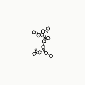 CS1(C)c2ccccc2-c2ccc(N(c3ccc(-c4ccccc4)cc3)c3ccc(-c4ccc5c(c4)c4ccccc4n5-c4cc(OC5Cc6ccccc65)cc(OC5Cc6ccccc65)c4)cc3)cc21